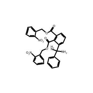 NC(N)(c1ccccc1)c1cccc(C(=O)OCc2ccccc2[N+](=O)[O-])c1C(=O)OCc1ccccc1[N+](=O)[O-]